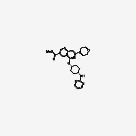 COC(=O)c1cnc2cc(N3CCOCC3)nc(O[C@H]3CC[C@@H](Nc4ncccn4)CC3)c2c1